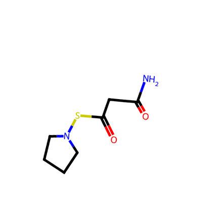 NC(=O)CC(=O)SN1CCCC1